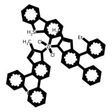 CCc1ccccc1-c1c(-c2ccccc2)ccc2c1C=C(C)[CH]2[Zr]([Cl])([Cl])([c]1cccc2c1[SiH2]c1ccccc1-2)[CH]1C(C)=Cc2c1ccc(-c1ccccc1)c2-c1ccccc1CC